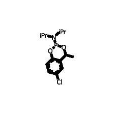 CC1OP(N(C(C)C)C(C)C)Oc2ccc(Cl)cc21